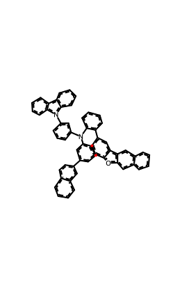 c1cc(-c2ccc3ccccc3c2)cc(N(c2cccc(-n3c4ccccc4c4ccccc43)c2)c2ccccc2-c2ccc3oc4cc5ccccc5cc4c3c2)c1